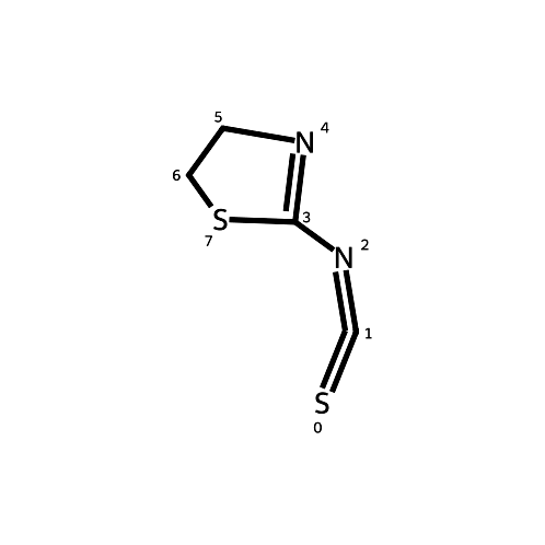 S=C=NC1=NCCS1